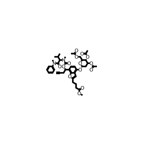 C#CCC(OC(=O)N(C)C(C(=O)N(C)c1ccccc1)C(C)C)c1ccc(O[C@H]2CC(OC(C)=O)[C@@H](OC(C)=O)C(COC(C)=O)O2)c2cc(CCCC(=O)OC)oc12